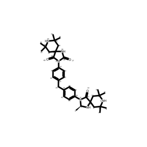 C[C@@H]1NC2(CC(C)(C)NC(C)(C)C2)C(=O)N1c1ccc(Cc2ccc(N3C(=O)NC4(CC(C)(C)NC(C)(C)C4)C3=O)cc2)cc1